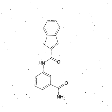 NC(=O)c1cccc(NC(=O)c2cc3ccccc3s2)c1